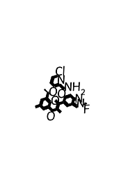 Cc1cc([C@@H](C)Oc2ccc(Cl)nc2C(N)=O)c2oc(-c3ccc4nn(CF)cc4c3)c(C)c(=O)c2c1